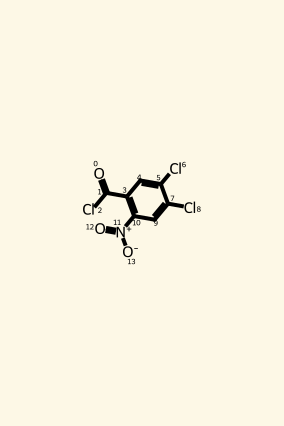 O=C(Cl)c1cc(Cl)c(Cl)cc1[N+](=O)[O-]